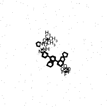 CC(C)(C)OC(=O)N1CCC[C@H]1c1nc2ccc(-c3ccc(-c4ccc(OS(=O)(=O)C(F)(F)F)c5c4CC4(CCCC4)C5)c4c3C3CCC4C3)cc2[nH]1